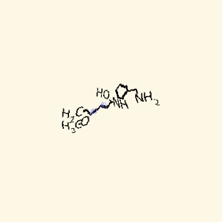 C=C/C(=C\C=C\C(O)Nc1cccc(CN)c1)OC